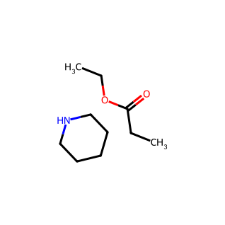 C1CCNCC1.CCOC(=O)CC